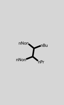 CCCCCCCCC[C](CCC)C(CCCC)CCCCCCCCC